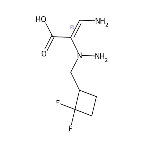 N/C=C(/C(=O)O)N(N)CC1CCC1(F)F